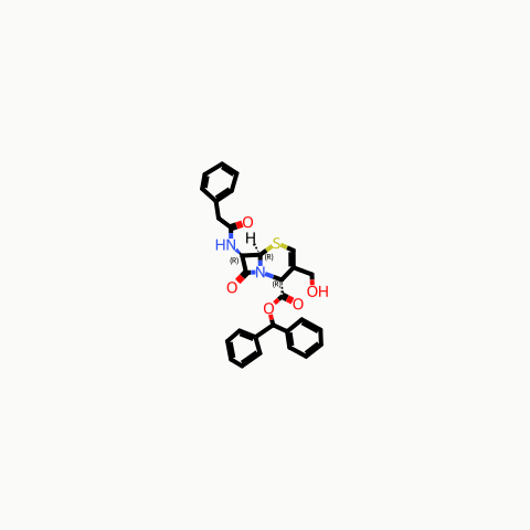 O=C(Cc1ccccc1)N[C@@H]1C(=O)N2[C@@H](C(=O)OC(c3ccccc3)c3ccccc3)C(CO)=CS[C@H]12